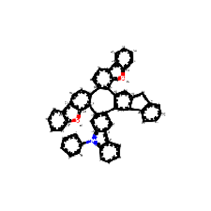 c1ccc(-n2c3ccccc3c3cc4c(cc32)-c2c(ccc3c2oc2ccccc23)-c2ccc3c(oc5ccccc53)c2-c2cc3c(cc2-4)-c2ccccc2C3)cc1